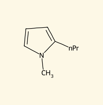 CCCc1cccn1C